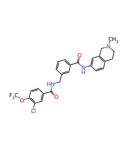 CN1CCc2ccc(NC(=O)c3cccc(CNC(=O)c4ccc(OC(F)(F)F)c(Cl)c4)c3)cc2C1